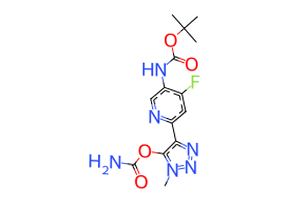 Cn1nnc(-c2cc(F)c(NC(=O)OC(C)(C)C)cn2)c1OC(N)=O